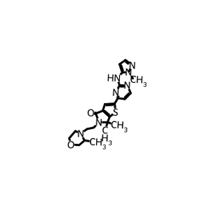 CC1COCCN1CCN1C(=O)c2cc(-c3ccnc(Nc4ccnn4C)n3)sc2C1(C)C